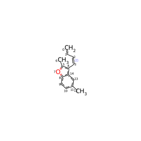 C=C/C=C\c1c(C)oc2ccc(C)cc12